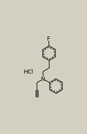 C#CCN(CCc1ccc(F)cc1)c1ccccc1.Cl